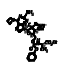 CCOC(=O)[C@H](C)NP(=O)(OC[C@H]1O[C@@H](n2cnc3c(N4CCC4)nc(N)nc32)[C@](C)(N=[N+]=[N-])[C@@H]1O)Oc1ccccc1